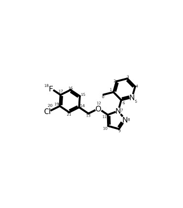 Cc1cccnc1-n1nccc1OCc1ccc(F)c(Cl)c1